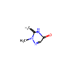 C=C1NC(=O)C=NN1C